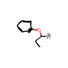 [2H]C(C[CH2])Oc1ccccc1